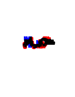 CO[C@H]1/C=C/O[C@@]2(C)Oc3c(C)c(O)c4c(=O)c(c5oc6cc(N7CCC(C8CCN(C(=O)OCc9ccc(NC(=O)[C@H](CCCNC(N)=O)NC(=O)[C@@H](NC(=O)CCCCCN%10C(=O)C=CC%10=O)C(C)C)cc9)CC8)CC7)cc(O)c6nc-5c4c3C2=O)NC(=O)/C(C)=C\C=C\[C@H](C)[C@H](O)[C@@H](C)[C@@H](O)[C@@H](C)[C@H](OC(C)=O)[C@@H]1C